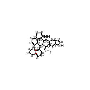 NC(=O)C(c1c(-c2ccc3[nH]ccc3c2)[nH]c2ccccc12)C(c1ccccc1)c1ccccc1N1CCCCC1